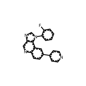 Fc1ccccc1-n1cnc2cnc3ccc(-c4ccncc4)cc3c21